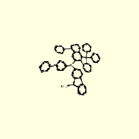 CC1c2ccccc2-c2ccc(N(c3ccc(-c4ccccc4)cc3)c3cc4c(-c5ccccc5)cccc4c4c3-c3ccccc3C4(c3ccccc3)c3ccccc3)cc21